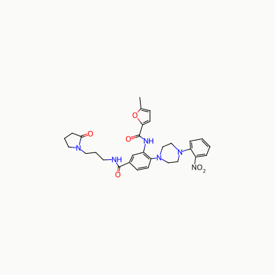 Cc1ccc(C(=O)Nc2cc(C(=O)NCCCN3CCCC3=O)ccc2N2CCN(c3ccccc3[N+](=O)[O-])CC2)o1